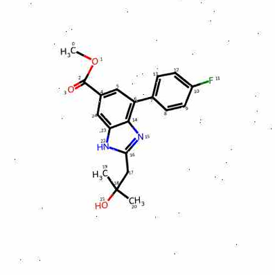 COC(=O)c1cc(-c2ccc(F)cc2)c2nc(CC(C)(C)O)[nH]c2c1